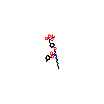 CCCCCCCCN(CCOc1ccc(CC(OCC)C(=O)O)cc1)C(=O)Oc1cccc(C)c1